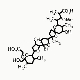 CCC1(C2OC(C3OC(CO)(OCC(=O)O)C(C)CC3C)CC2C)CCC(C2(C)CCC3(CC(O)C(C)C(C(C)C(OC)C(C)C(=O)O)O3)O2)O1